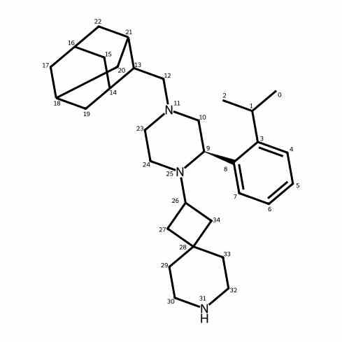 CC(C)c1ccccc1[C@@H]1CN(CC2C3CC4CC(C3)CC2C4)CCN1C1CC2(CCNCC2)C1